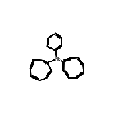 C1=CC=C[C]([Nb]([C]2=CC=CC=CC=C2)[c]2ccccc2)=CC=C1